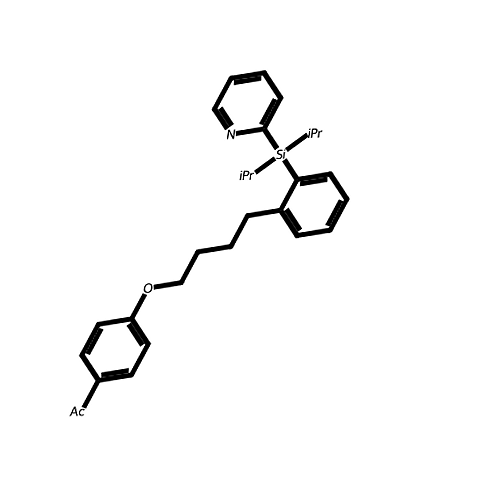 CC(=O)c1ccc(OCCCCc2ccccc2[Si](c2ccccn2)(C(C)C)C(C)C)cc1